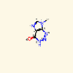 Cn1cnc2c(=O)[nH]nnc21